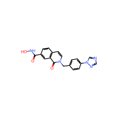 O=C(NO)c1ccc2ccn(Cc3ccc(-n4cncn4)cc3)c(=O)c2c1